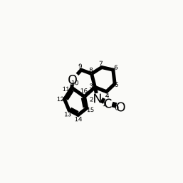 O=C=NC12CCCCC1COc1ccccc12